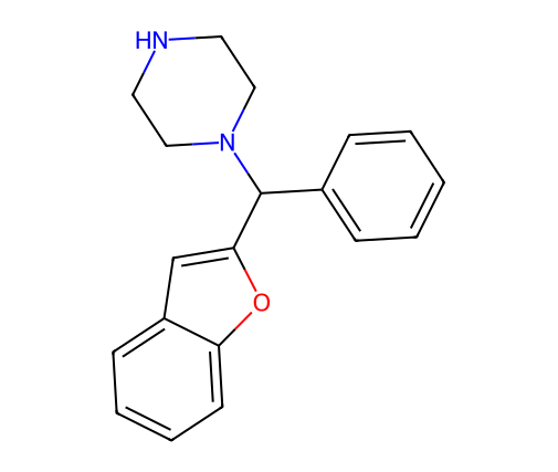 c1ccc(C(c2cc3ccccc3o2)N2CCNCC2)cc1